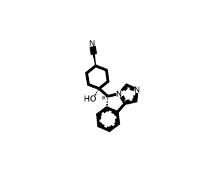 N#C[C@H]1CC[C@@](O)([C@H]2c3ccccc3-c3cncn32)CC1